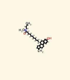 C=C1CCC2C1CCC1c3ccc(O)cc3C[C@@H](CCCCCCCCCCC(=O)N(C)CCCC)C12